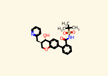 CC(C)(C)S(=O)(=O)NC(=O)c1ccccc1-c1ccc2c(c1)OC[C@@H](Cc1ccccn1)[C@@H]2O